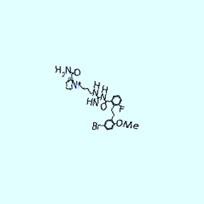 COc1ccc(Br)cc1CCc1c(F)cccc1C(=O)NC(=N)NCCC/C=[N+]1\CCC[C@H]1C(N)=O